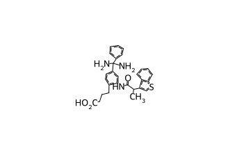 CC(C(=O)Nc1cc(C(N)(N)c2ccccc2)ccc1CCCC(=O)O)c1csc2ccccc12